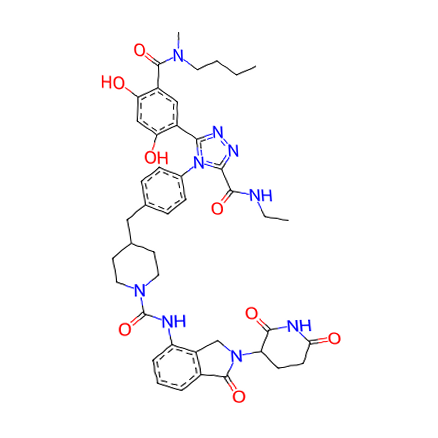 CCCCN(C)C(=O)c1cc(-c2nnc(C(=O)NCC)n2-c2ccc(CC3CCN(C(=O)Nc4cccc5c4CN(C4CCC(=O)NC4=O)C5=O)CC3)cc2)c(O)cc1O